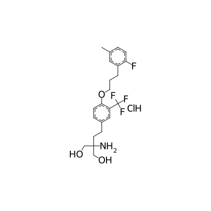 Cc1ccc(F)c(CCCOc2ccc(CCC(N)(CO)CO)cc2C(F)(F)F)c1.Cl